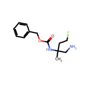 CC(CN)(CCF)NC(=O)OCc1ccccc1